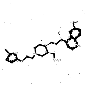 COc1ccc2nccc([C@@H](F)CC[C@@H]3CCN(CCSc4ccc(C)s4)C[C@@H]3CC(=O)O)c2c1